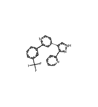 FC(F)(F)c1cccc(-c2cc(-c3c[nH]nc3-c3ccccn3)ccn2)c1